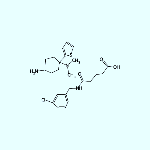 CN(C)C1(c2cccs2)CCC(N)CC1.O=C(O)CCCC(=O)NCc1cccc(Cl)c1